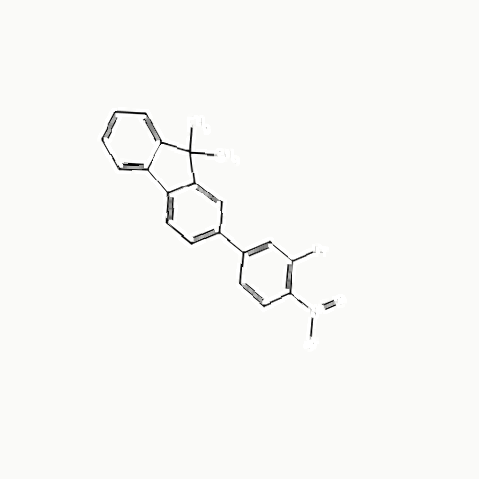 CC1(C)c2ccccc2-c2ccc(-c3ccc([N+](=O)[O-])c(Br)c3)cc21